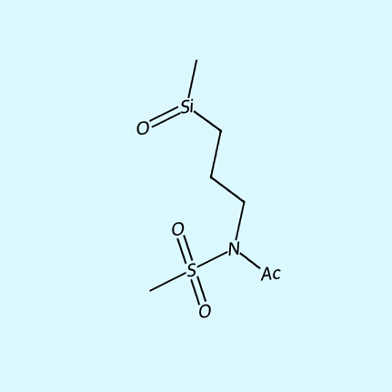 CC(=O)N(CCC[Si](C)=O)S(C)(=O)=O